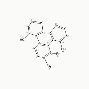 CC(C)c1ccc(-c2ccccc2O)c(-c2ccccc2O)c1C(C)C